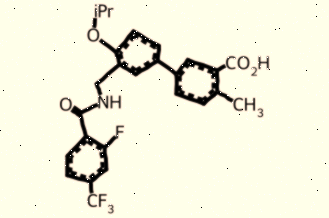 Cc1ccc(-c2ccc(OC(C)C)c(CNC(=O)c3ccc(C(F)(F)F)cc3F)c2)cc1C(=O)O